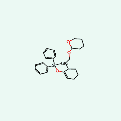 CC(C)(C)[Si](OC1=CC[CH]C=C1CCOC1CCCCO1)(c1ccccc1)c1ccccc1